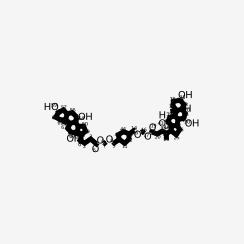 CC(CCC(=O)OCOCC1CCC(COCOC(=O)CCC(C)C2CCC3C4C(O)C[C@H]5CC(O)CCC5(C)C4CC(O)[C@]23C)CC1)C1CCC2C3C(O)CC4CC(O)CCC4(C)C3CC(O)C12C